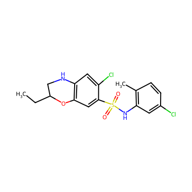 CCC1CNc2cc(Cl)c(S(=O)(=O)Nc3cc(Cl)ccc3C)cc2O1